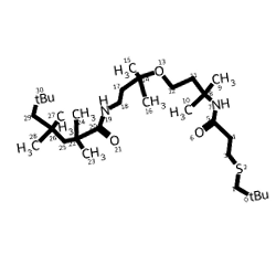 CC(C)(C)CSCCC(=O)NC(C)(C)CCOC(C)(C)CCNC(=O)C(C)(C)CC(C)(C)CC(C)(C)C